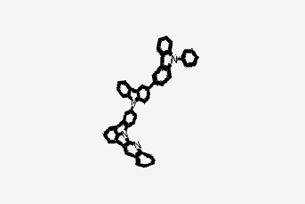 c1ccc(-n2c3ccccc3c3cc(-c4ccc5c(c4)c4ccccc4n5-c4ccc5c(c4)c4cccc6c7cc8ccccc8nc7n5c46)ccc32)cc1